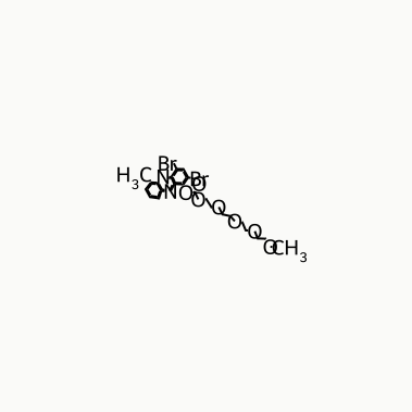 COCCOCCOCCOCCOC(=O)Oc1c(Br)cc(Br)c2nc3c(C)cccc3nc12